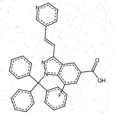 O=C(O)c1cc(F)c2c(c1)c(C=Cc1cccnc1)nn2C(c1ccccc1)(c1ccccc1)c1ccccc1